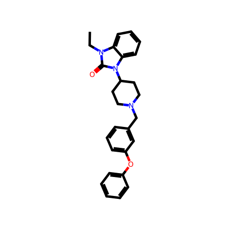 CCn1c(=O)n(C2CCN(Cc3cccc(Oc4ccccc4)c3)CC2)c2ccccc21